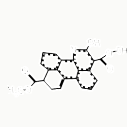 COC(=O)c1c(O)nc2c3cccc4c3c(c3cccc1c32)=CCC4C(=O)OC